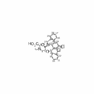 CN(CC(=O)O)CC1OC(c2ccccc2Cl)c2cc(Cl)ccc2N(Cc2ccccc2)C1=O